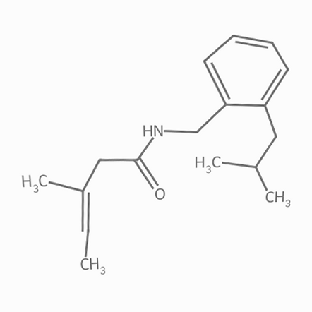 CC=C(C)CC(=O)NCc1ccccc1CC(C)C